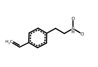 C=Cc1ccc(CC[SiH](Cl)Cl)cc1